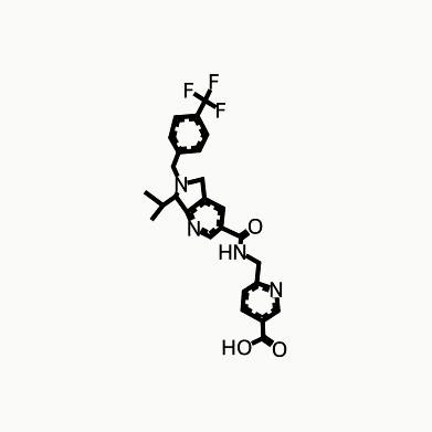 CC(C)C1c2ncc(C(=O)NCc3ccc(C(=O)O)cn3)cc2CN1Cc1ccc(C(F)(F)F)cc1